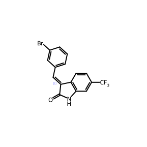 O=C1Nc2cc(C(F)(F)F)ccc2/C1=C\c1cccc(Br)c1